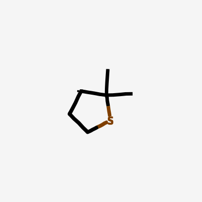 CC1(C)[CH]CCS1